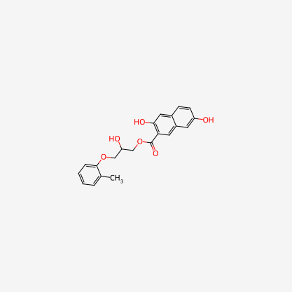 Cc1ccccc1OCC(O)COC(=O)c1cc2cc(O)ccc2cc1O